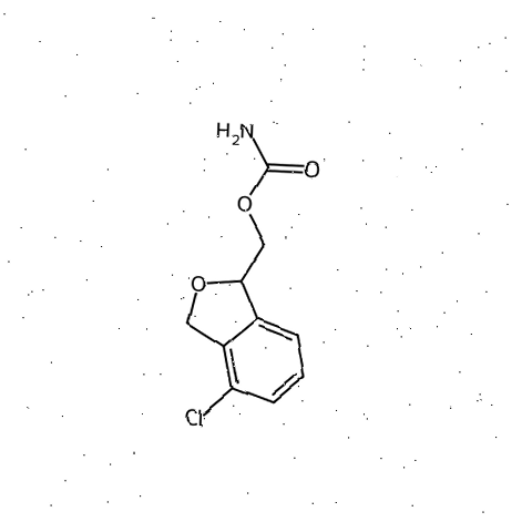 NC(=O)OCC1OCc2c(Cl)cccc21